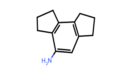 Nc1cc2c(c3c1CCC3)CCC2